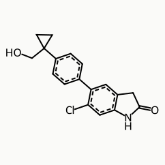 O=C1Cc2cc(-c3ccc(C4(CO)CC4)cc3)c(Cl)cc2N1